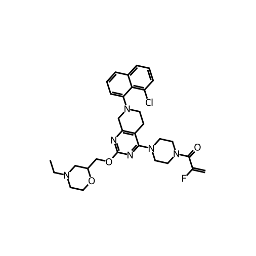 C=C(F)C(=O)N1CCN(c2nc(OCC3CN(CC)CCO3)nc3c2CCN(c2cccc4cccc(Cl)c24)C3)CC1